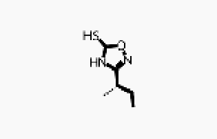 CC[C@H](C)C1=NOC(S)N1